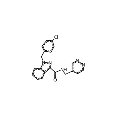 O=C(NCc1ccnnc1)c1nn(Cc2ccc(Cl)cc2)c2ccccc12